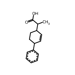 CC(C(=O)O)C1C=CC(c2ccccc2)CC1